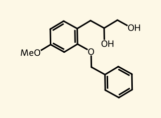 COc1ccc(CC(O)CO)c(OCc2ccccc2)c1